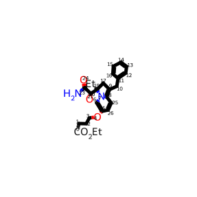 CCOC(=O)CCCOC1=CN2C(=C(Cc3ccccc3)CC2(CC)C(=O)C(N)=O)C=C1